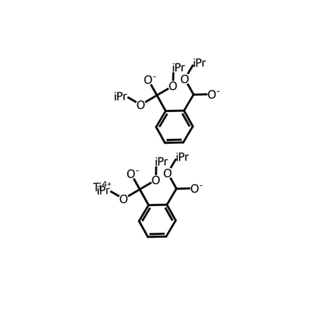 CC(C)OC([O-])c1ccccc1C([O-])(OC(C)C)OC(C)C.CC(C)OC([O-])c1ccccc1C([O-])(OC(C)C)OC(C)C.[Ti+4]